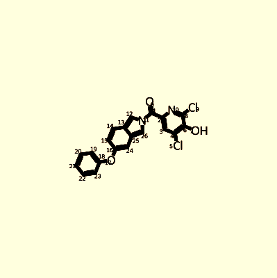 O=C(c1cc(Cl)c(O)c(Cl)n1)n1cc2ccc(Oc3ccccc3)cc2c1